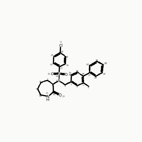 Cc1cc(CN(C2CCCCNC2=O)S(=O)(=O)c2ccc(Cl)cc2)ccc1-c1ccccc1